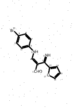 N=C(/C(C=O)=C\Nc1ccc(Br)cc1)c1ccco1